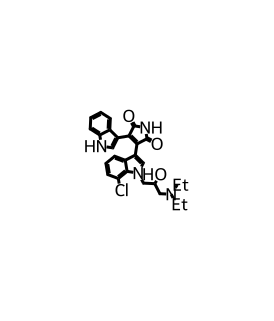 CCN(CC)CC(O)Cn1cc(C2=C(c3c[nH]c4ccccc34)C(=O)NC2=O)c2cccc(Cl)c21